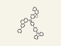 c1ccc(-c2ccc3c(ccc4ccc(N(c5ccc(-c6ccc(-n7c8ccccc8c8ccccc87)cc6)cc5)c5ccc6c(c5)oc5ccc7ccccc7c56)cc43)c2)cc1